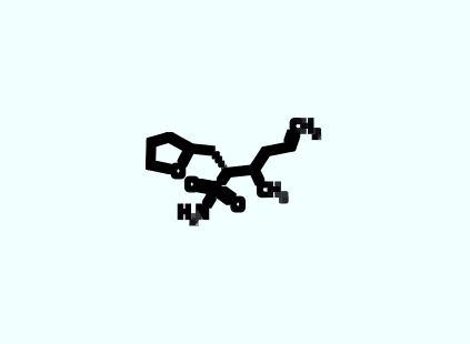 C=CCC(C)[C@@H](CC1CCCO1)S(N)(=O)=O